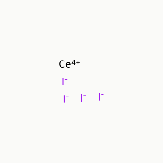 [Ce+4].[I-].[I-].[I-].[I-]